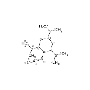 CC(C)C1CC(C(C)C)C(N=C=O)C(C(C)C)C1